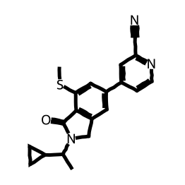 CSc1cc(-c2ccnc(C#N)c2)cc2c1C(=O)N(C(C)C1CC1)C2